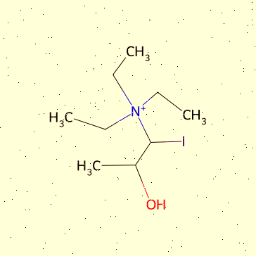 CC[N+](CC)(CC)C(I)C(C)O